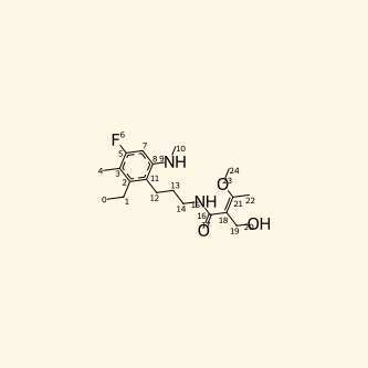 CCc1c(C)c(F)cc(NC)c1CCCNC(=O)C(CO)=C(C)OC